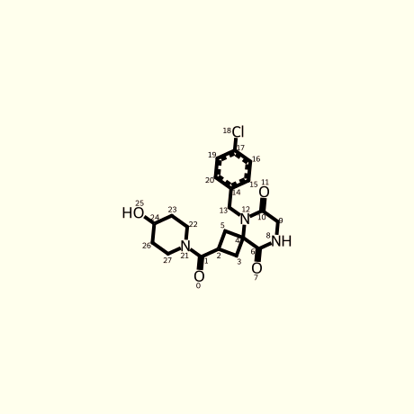 O=C(C1CC2(C1)C(=O)NCC(=O)N2Cc1ccc(Cl)cc1)N1CCC(O)CC1